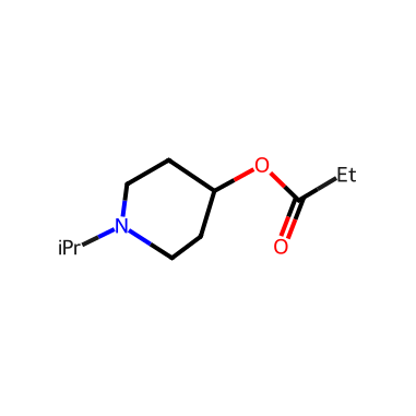 CCC(=O)OC1CCN(C(C)C)CC1